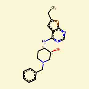 O[C@H]1CN(Cc2ccccc2)CC[C@@H]1Nc1ncnc2sc(CC(F)(F)F)cc12